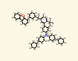 C\C=C1/C(=C\C(=C\C)C(C)(C)c2cccc(-c3cccc4c3oc3ccccc34)c2)c2ccc(N(c3ccc(-c4ccccc4)cc3)c3ccc(-c4ccccc4)cc3)cc2CC1(C)C